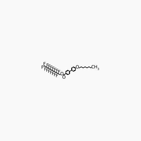 CCCCCCCCOc1ccc(-c2ccc(C(=O)OCC(F)(F)C(F)(F)C(F)(F)C(F)(F)C(F)(F)C(F)(F)C(F)(F)C(F)F)cc2)cc1